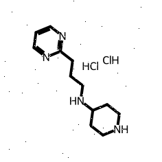 Cl.Cl.c1cnc(CCCNC2CCNCC2)nc1